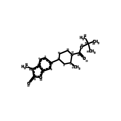 C[C@H]1CC(c2ccc3c(c2)oc(=O)n3C)CCN1C(=O)OC(C)(C)C